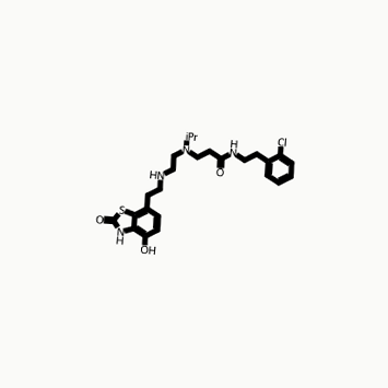 CC(C)N(CCNCCc1ccc(O)c2[nH]c(=O)sc12)CCC(=O)NCCc1ccccc1Cl